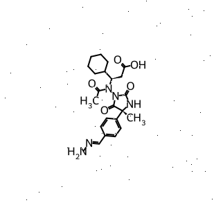 CC(=O)N([C@H](CC(=O)O)C1CCCCC1)N1C(=O)N[C@](C)(c2ccc(C=NN)cc2)C1=O